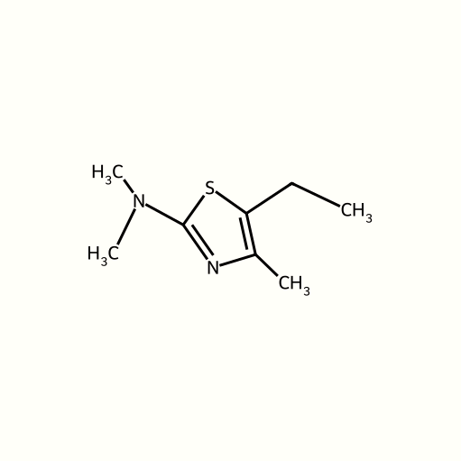 CCc1sc(N(C)C)nc1C